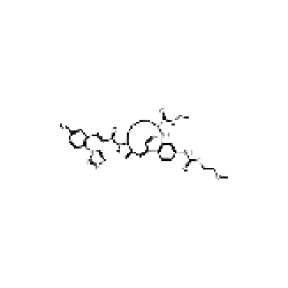 C=C1/C=C(\C=C/C)c2ccc(NC(=O)OCCOC)cc2N[C@@H](C(=O)OCC)CCCC[C@@H]1NC(=O)/C=C/c1cc(Cl)ccc1-n1cnnn1